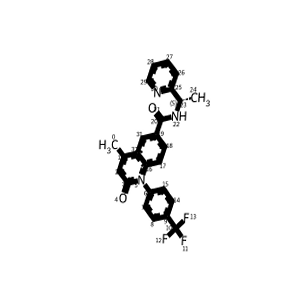 Cc1cc(=O)n(-c2ccc(C(F)(F)F)cc2)c2ccc(C(=O)N[C@@H](C)c3ccccn3)cc12